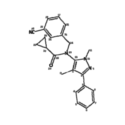 Cc1c(-c2ccccc2)nn(C)c1N(Cc1cccc(C#N)c1)C(=O)C1CC1